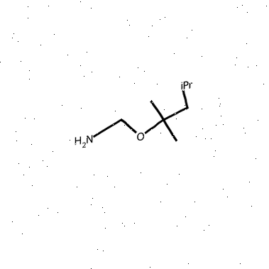 CC(C)CC(C)(C)OCN